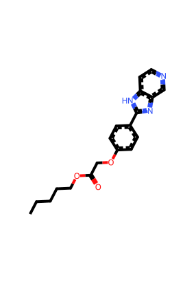 CCCCCOC(=O)COc1ccc(-c2nc3cnccc3[nH]2)cc1